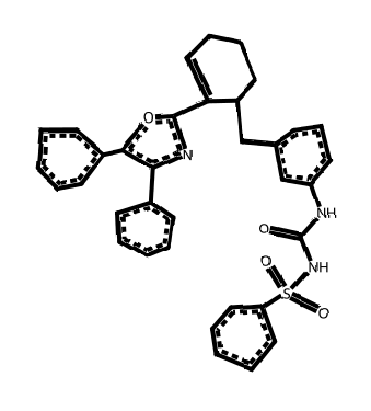 O=C(Nc1cccc(CC2CCCC=C2c2nc(-c3ccccc3)c(-c3ccccc3)o2)c1)NS(=O)(=O)c1ccccc1